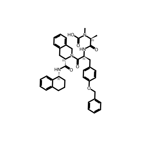 C[C@@H](C(=O)N[C@@H](Cc1ccc(OCc2ccccc2)cc1)C(=O)N1Cc2ccccc2C[C@H]1C(=O)N[C@@H]1CCCc2ccccc21)N(C)C(=O)O